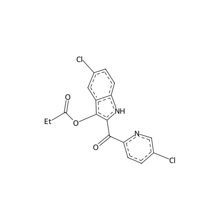 CCC(=O)Oc1c(C(=O)c2ccc(Cl)cn2)[nH]c2ccc(Cl)cc12